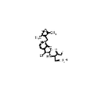 CCC(C(=O)NC(CC(=O)O)C(=O)CF)c1ccnn(Cc2c(C)noc2C)c1=O